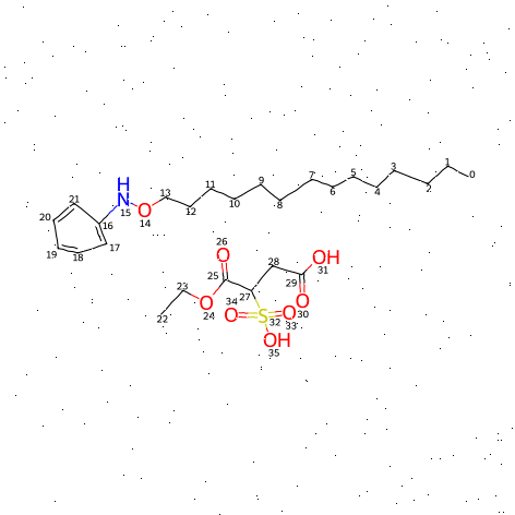 CCCCCCCCCCCCCCONc1ccccc1.CCOC(=O)C(CC(=O)O)S(=O)(=O)O